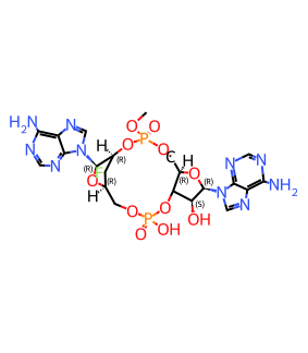 COP1(=O)OC[C@H]2O[C@@H](n3cnc4c(N)ncnc43)[C@@H](O)C2OP(=O)(O)OC[C@H]2O[C@@H](n3cnc4c(N)ncnc43)[C@@H](O1)C2F